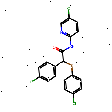 O=C(Nc1ccc(Cl)cn1)C(Sc1ccc(Cl)cc1)c1ccc(F)cc1